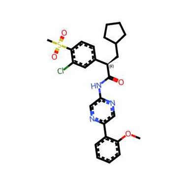 COc1ccccc1-c1cnc(NC(=O)[C@H](CC2CCCC2)c2ccc(S(C)(=O)=O)c(Cl)c2)cn1